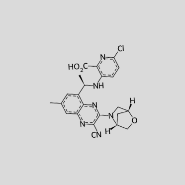 Cc1cc([C@@H](C)Nc2ccc(Cl)nc2C(=O)O)c2nc(N3C[C@H]4C[C@@H]3CO4)c(C#N)nc2c1